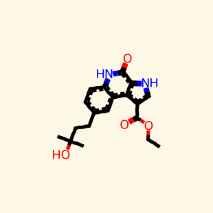 CCOC(=O)c1c[nH]c2c(=O)[nH]c3ccc(CCC(C)(C)O)cc3c12